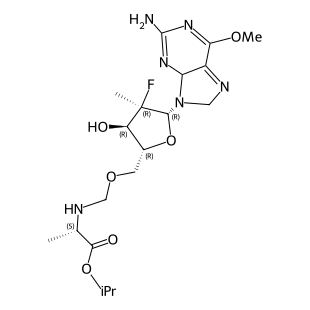 COC1=NC(N)=NC2C1=NCN2[C@@H]1O[C@H](COCN[C@@H](C)C(=O)OC(C)C)[C@@H](O)[C@@]1(C)F